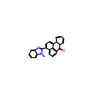 Cn1c(-c2ccc3c4c(cccc24)C(=O)C2C=CC=CC32)nc2ccccc21